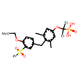 CCC(CC)(Oc1cc(C)c(Cc2ccc(OCOC)c(S(=O)(=O)C(C)C)c2)c(C)c1)P(=O)(O)O